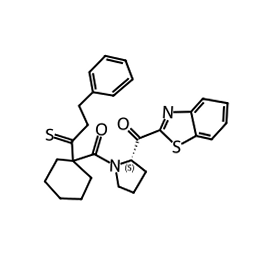 O=C(c1nc2ccccc2s1)[C@@H]1CCCN1C(=O)C1(C(=S)CCc2ccccc2)CCCCC1